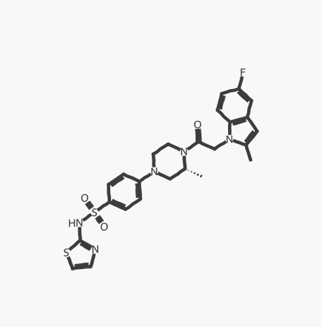 Cc1cc2cc(F)ccc2n1CC(=O)N1CCN(c2ccc(S(=O)(=O)Nc3nccs3)cc2)C[C@H]1C